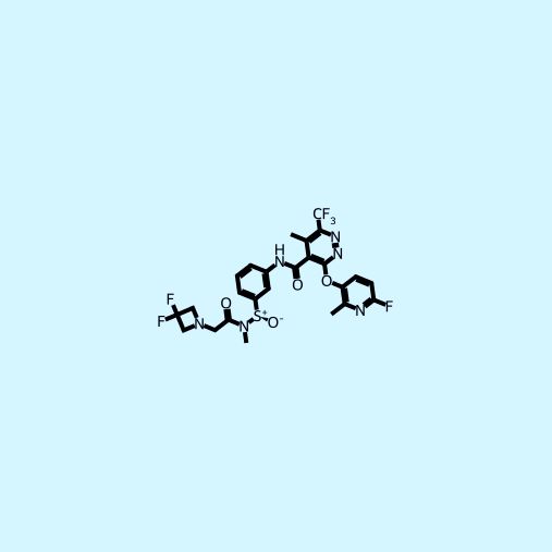 Cc1nc(F)ccc1Oc1nnc(C(F)(F)F)c(C)c1C(=O)Nc1cccc([S@@+]([O-])N(C)C(=O)CN2CC(F)(F)C2)c1